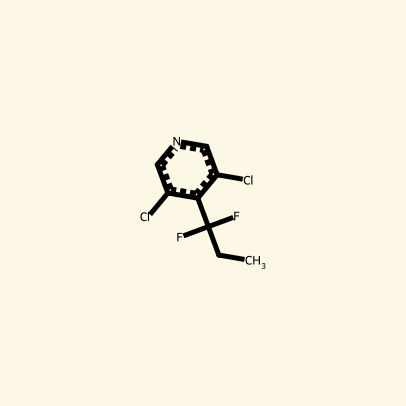 CCC(F)(F)c1c(Cl)cncc1Cl